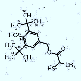 CC(S)C(=O)OCc1cc(C(C)(C)C)c(O)c(C(C)(C)C)c1